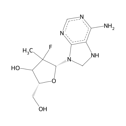 CC1(F)C(O)[C@@H](CO)O[C@H]1N1CNc2c(N)ncnc21